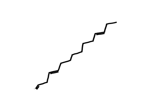 [CH]=CCC=CCCCCCCC=CCC